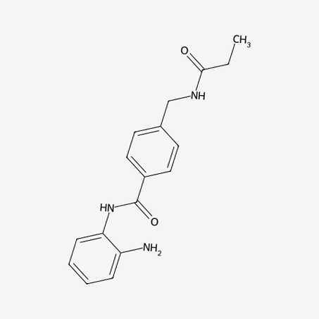 CCC(=O)NCc1ccc(C(=O)Nc2ccccc2N)cc1